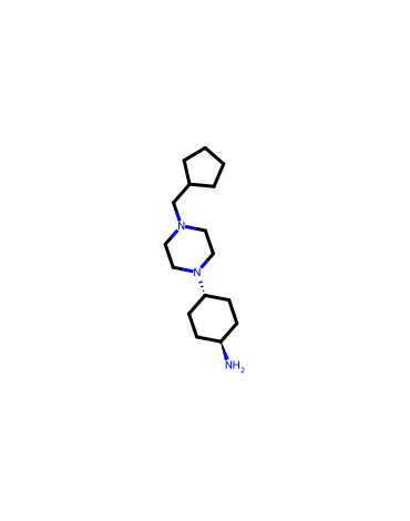 N[C@H]1CC[C@H](N2CCN(CC3CCCC3)CC2)CC1